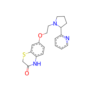 O=C1CSc2cc(OCCN3CCCC3c3ccccn3)ccc2N1